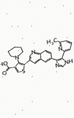 Cc1cccc(-c2[nH]cnc2-c2ccc3ncc(-c4scc(C(=O)O)c4N4CCCCC4)cc3c2)n1